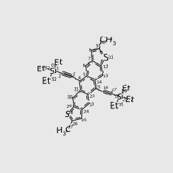 CC[Si](C#Cc1c2cc3cc(C)sc3cc2c(C#C[Si](CC)(CC)CC)c2cc3cc(C)sc3cc12)(CC)CC